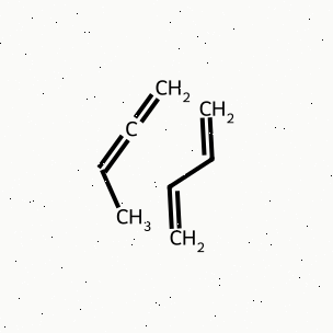 C=C=CC.C=CC=C